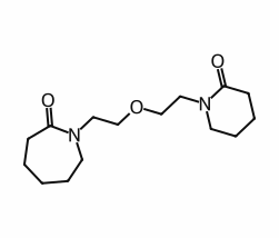 O=C1CCCCCN1CCOCCN1CCCCC1=O